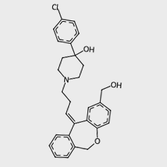 OCc1ccc2c(c1)/C(=C\CCN1CCC(O)(c3ccc(Cl)cc3)CC1)c1ccccc1CO2